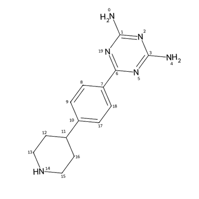 Nc1nc(N)nc(-c2ccc(C3CCNCC3)cc2)n1